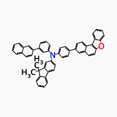 CC1(C)c2ccccc2-c2ccc(N(c3ccc(-c4ccc5c(ccc6oc7ccccc7c65)c4)cc3)c3cccc(-c4ccc5ccccc5c4)c3)cc21